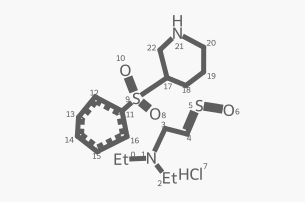 CCN(CC)CC=S=O.Cl.O=S(=O)(c1ccccc1)C1CCCNC1